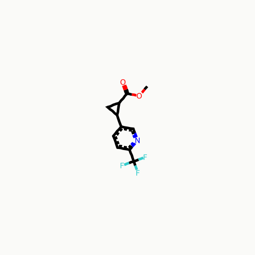 COC(=O)C1CC1c1ccc(C(F)(F)F)nc1